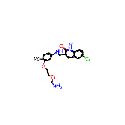 N#Cc1ccc(NCc2cc3cc(Cl)ccc3[nH]c2=O)cc1OCCOCN